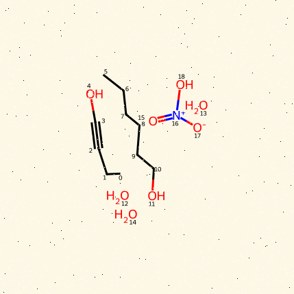 CCC#CO.CCCCCCO.O.O.O.O=[N+]([O-])O